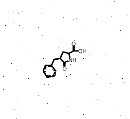 O=C1NC(C(=O)O)CC1Cc1ccccc1